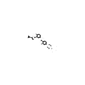 C[C@@H]1CN(c2ccc(C(=O)Nc3ccc(Cl)c(-c4ncc(C5CC5)[nH]4)c3)c(Cl)c2)C[C@H](C)N1C